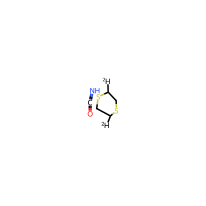 N=C=O.[2H]C1CSC([2H])CS1